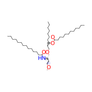 CCCCCCCCCCCCCC(=O)N[C@@H](/C=C/OC)COCC[C@@H](CCCCCCC)OC(=O)CCCCCCCCCCC